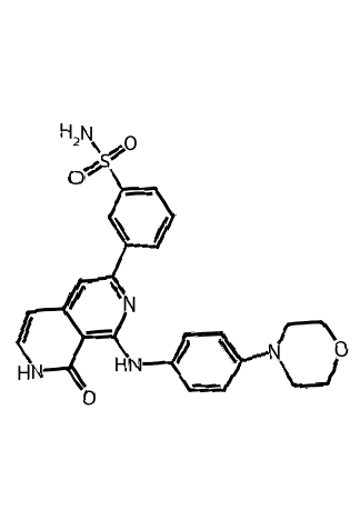 NS(=O)(=O)c1cccc(-c2cc3cc[nH]c(=O)c3c(Nc3ccc(N4CCOCC4)cc3)n2)c1